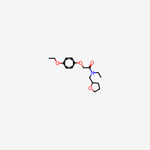 CCOc1ccc(OCC(=O)N(CC)CC2CCCO2)cc1